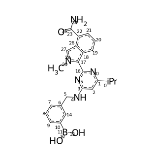 CC(C)c1cc(NCc2cccc(B(O)O)c2)nc(-c2c3cccc(C(N)=O)c3cn2C)n1